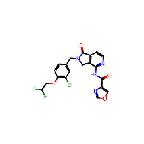 O=C(Nc1nccc2c1CN(Cc1ccc(OCC(F)F)c(Cl)c1)C2=O)c1cocn1